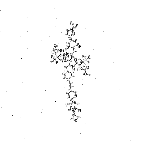 COC(=O)N[C@H](C(=O)N[C@@H](Cc1ccc(C#Cc2ccc(N3C[C@@H]4C[C@H]3CN4C3COC3)nc2)cc1)[C@@H](O)CN(Cc1c(F)cc(-c2ccn(C(F)F)n2)cc1F)NC(=O)[C@@H](NC(=O)O)C(C)(C)C(F)(F)F)C(C)(C)C(F)(F)F